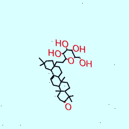 CC1(C)CCC2(CCC3OC(CO)C(O)C(O)C3O)CCC3C(=CCC4C3(C)CCC3C(C)(C)C(=O)CCC34C)C2C1